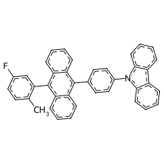 Cc1ccc(F)cc1-c1c2ccccc2c(-c2ccc(-n3c4ccccc4c4ccccc43)cc2)c2ccccc12